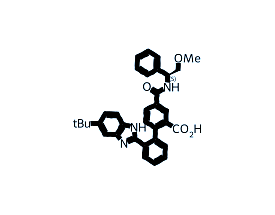 COC[C@@H](NC(=O)c1ccc(-c2ccccc2-c2nc3cc(C(C)(C)C)ccc3[nH]2)c(C(=O)O)c1)c1ccccc1